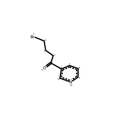 O=C(CCCBr)c1cccnc1